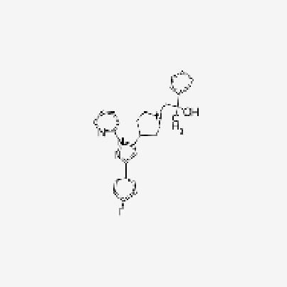 CC(O)(CN1CCC(c2cc(-c3ccc(F)cc3)nn2-c2ccccn2)CC1)c1ccccc1